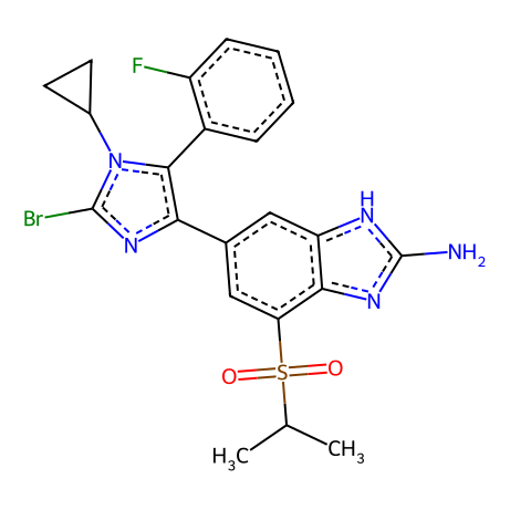 CC(C)S(=O)(=O)c1cc(-c2nc(Br)n(C3CC3)c2-c2ccccc2F)cc2[nH]c(N)nc12